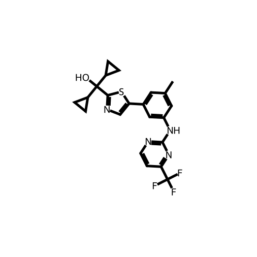 Cc1cc(Nc2nccc(C(F)(F)F)n2)cc(-c2cnc(C(O)(C3CC3)C3CC3)s2)c1